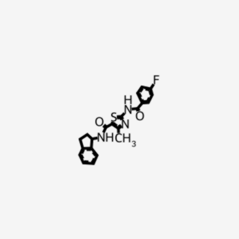 Cc1nc(NC(=O)c2ccc(F)cc2)sc1C(=O)NC1CCc2ccccc21